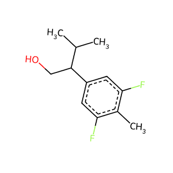 Cc1c(F)cc(C(CO)C(C)C)cc1F